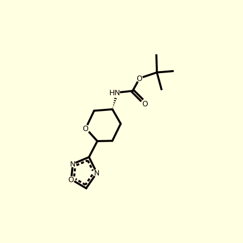 CC(C)(C)OC(=O)N[C@@H]1CCC(c2ncon2)OC1